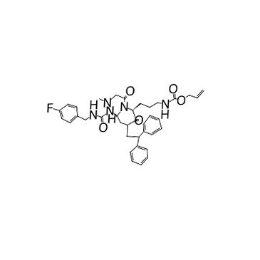 C=CCOC(=O)NCCC[C@H]1C(=O)C(CC(c2ccccc2)c2ccccc2)C[C@H]2N1C(=O)CN(C)N2C(=O)NCc1ccc(F)cc1